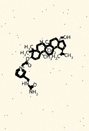 C=C(C)[C@@H]1CC[C@]2(CO)CC[C@]3(C)C(CCC4[C@@]5(C)CC[C@H](OC(=O)C[n+]6cccc(CNC(N)=O)c6)C(C)(C)C5CC[C@]43C)C12